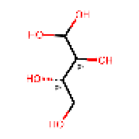 OC[C@H](O)[C@H](O)C(O)O